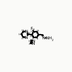 C#N.C#N.NN=Cc1ccc(-c2ncccn2)c(F)c1